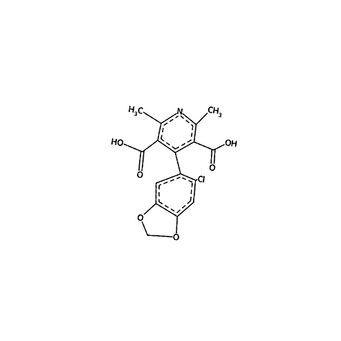 Cc1nc(C)c(C(=O)O)c(-c2cc3c(cc2Cl)OCO3)c1C(=O)O